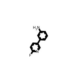 Nc1cccc(-c2ccc(F)nc2)c1